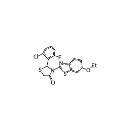 CCOc1ccc2nc(N3C(=O)CSC3c3c(F)cccc3Cl)sc2c1